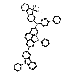 CC1(C)c2ccccc2-c2ccc(N(c3ccc(-c4ccccc4)cc3)c3cc4ccc5cc(-c6ccc7c(c6)c6ccccc6n7-c6ccccc6)cc6c5c4c(c3)n6-c3ccccc3)cc21